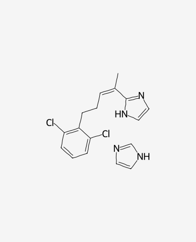 CC(=CCCc1c(Cl)cccc1Cl)c1ncc[nH]1.c1c[nH]cn1